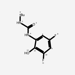 CC(C)(C)NC(=O)Nc1cc(F)cc(F)c1O